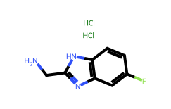 Cl.Cl.NCc1nc2cc(F)ccc2[nH]1